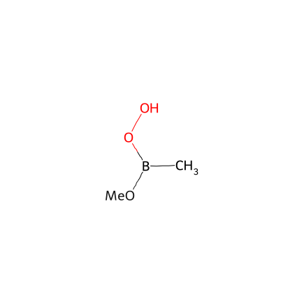 COB(C)OO